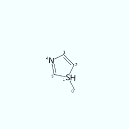 C[SH]1C=CN=C1